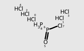 Cl.Cl.Cl.Cl.Cl.O=PCl.P